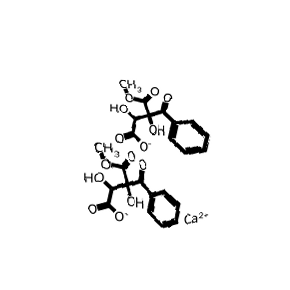 COC(=O)C(O)(C(=O)c1ccccc1)C(O)C(=O)[O-].COC(=O)C(O)(C(=O)c1ccccc1)C(O)C(=O)[O-].[Ca+2]